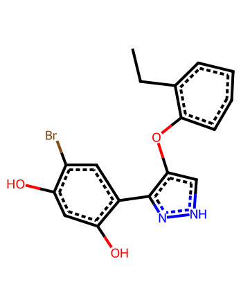 CCc1ccccc1Oc1c[nH]nc1-c1cc(Br)c(O)cc1O